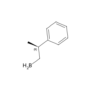 BC[C@@H](C)c1ccccc1